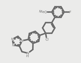 COc1ccc(F)cc1C1=CCC(Cl)(c2ccc3c(c2)CNCc2nncn2-3)CC1